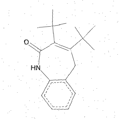 CC(C)(C)C1=C(C(C)(C)C)C(=O)Nc2ccccc2C1